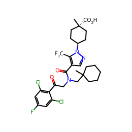 CC1(CN(CC(=O)c2c(Cl)cc(F)cc2Cl)C(=O)c2cnn([C@H]3CC[C@](C)(C(=O)O)CC3)c2C(F)(F)F)CCCCC1